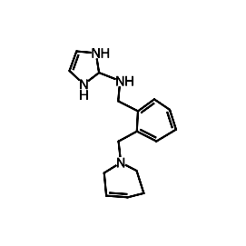 C1=CCN(Cc2ccccc2CNC2NC=CN2)CC1